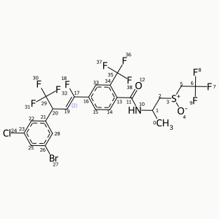 CC(C[S+]([O-])CC(F)(F)F)NC(=O)c1ccc(/C(F)=C/C(c2cc(Cl)cc(Br)c2)C(F)(F)F)cc1C(F)(F)F